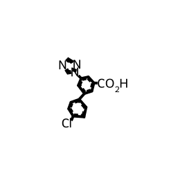 O=C(O)c1cc(-c2ccc(Cl)cc2)cc(-n2cncn2)c1